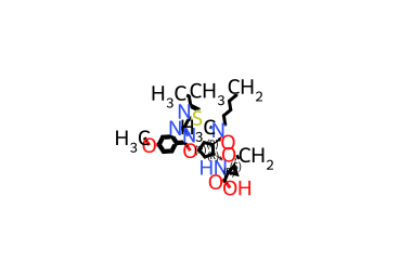 C=CCCCCN(C)C(=O)[C@@H]1C[C@H](Oc2nc(-c3nc(C(C)C)cs3)nc3cc(OC)ccc23)C[C@H]1C(=O)N[C@]1(C(=O)O)C[C@H]1C=C